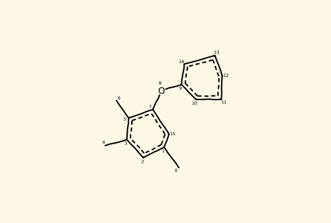 Cc1cc(C)c(C)c(Oc2ccccc2)c1